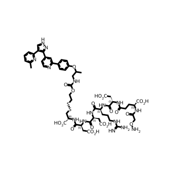 Cc1cccc(-c2c[nH]nc2-c2ccnc(-c3ccc(OC(C)CNC(=O)OCCSSC[C@H](NC(=O)[C@H](CC(=O)O)NC(=O)[C@H](CC(=O)O)NC(=O)[C@H](CCCNC(=N)N)NC(=O)[C@H](CC(=O)O)NC(=O)CC[C@H](NC(=O)CON)C(=O)O)C(=O)O)cc3)c2)n1